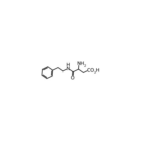 NC(CC(=O)O)C(=O)N[CH]Cc1ccccc1